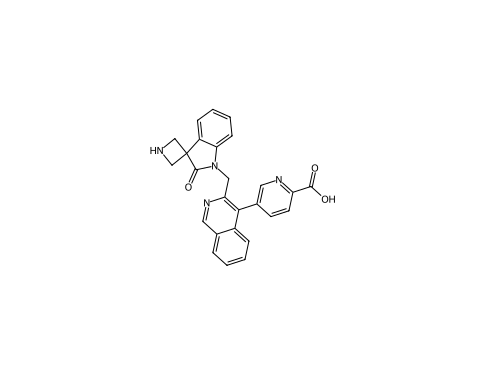 O=C(O)c1ccc(-c2c(CN3C(=O)C4(CNC4)c4ccccc43)ncc3ccccc23)cn1